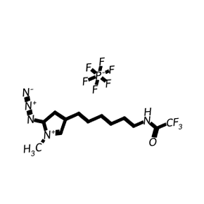 C[N+]1=CC(CCCCCCNC(=O)C(F)(F)F)CC1N=[N+]=[N-].F[P-](F)(F)(F)(F)F